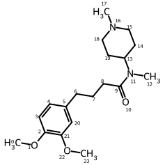 COc1ccc(CCCC(=O)N(C)C2CCN(C)CC2)cc1OC